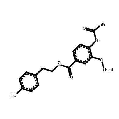 CCCCCOc1cc(C(=O)NCCc2ccc(O)cc2)ccc1NC(=O)CCC